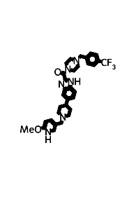 COC1=CC=C(CN2CCC(c3ccc4[nH]c(C(=O)N5CCN(Cc6ccc(C(F)(F)F)cc6)CC5)nc4c3)CC2)CN1